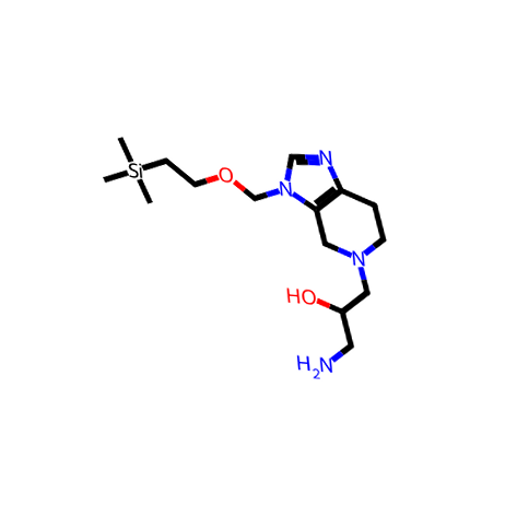 C[Si](C)(C)CCOCn1cnc2c1CN(CC(O)CN)CC2